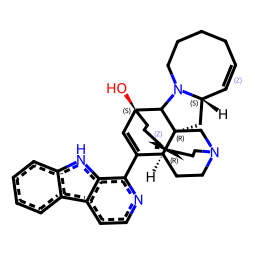 O[C@]12C=C(c3nccc4c3[nH]c3ccccc34)[C@@H]3CCN(CCCC/C=C\CC1)C[C@@]31C[C@H]3/C=C\CCCCN3C12